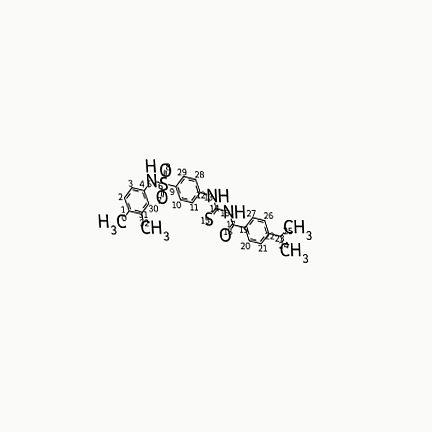 Cc1ccc(NS(=O)(=O)c2ccc(NC(=S)NC(=O)c3ccc(C(C)C)cc3)cc2)cc1C